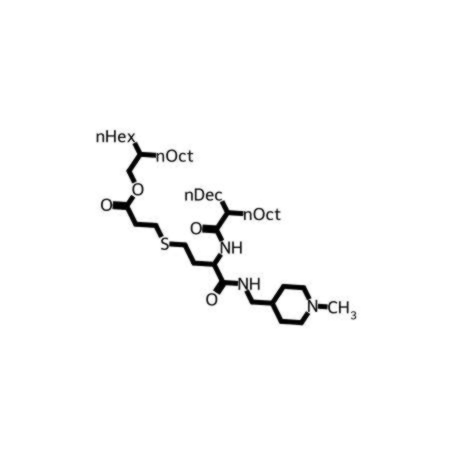 CCCCCCCCCCC(CCCCCCCC)C(=O)NC(CCSCCC(=O)OCC(CCCCCC)CCCCCCCC)C(=O)NCC1CCN(C)CC1